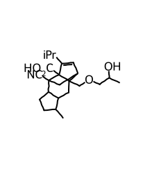 CC(O)COCC12CC3C(C)CCC3C3(C#N)CC1C=C(C(C)C)C32C(=O)O